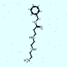 NCCNCCNCCC(=O)OCc1ccccc1